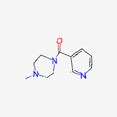 CN1CCN(C(=O)c2[c]nccc2)CC1